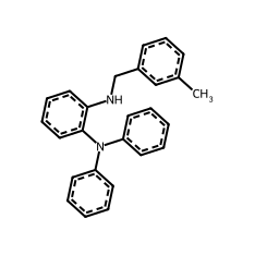 Cc1cccc(CNc2ccccc2N(c2ccccc2)c2ccccc2)c1